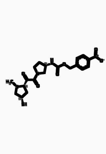 CN1C[C@@H](S)C[C@H]1C(=O)C(=O)N1CC[C@H](NC(=O)OCc2ccc([N+](=O)[O-])cc2)C1